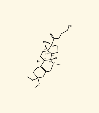 C=C(CCCO)[C@]1(O)CC[C@H]2[C@@H]3[C@H](C)CC4=C(CCC(OC)(OC)C4)[C@H]3CC[C@@]21C